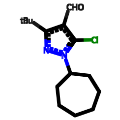 CC(C)(C)c1nn(C2CCCCCC2)c(Cl)c1C=O